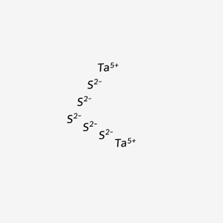 [S-2].[S-2].[S-2].[S-2].[S-2].[Ta+5].[Ta+5]